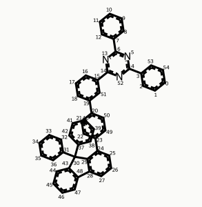 c1ccc(-c2nc(-c3ccccc3)nc(-c3cccc(-c4ccc(-c5cccc6c5C(c5ccccc5)(c5ccccc5)c5ccccc5-6)cc4)c3)n2)cc1